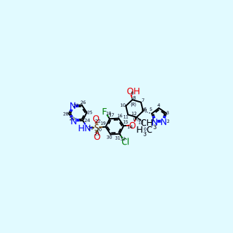 Cn1nccc1[C@H]1C[C@H](O)CC[C@@]1(C)Oc1cc(F)c(S(=O)(=O)Nc2ccncn2)cc1Cl